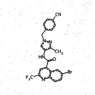 Cc1nn(Cc2ccc(C#N)cc2)cc1NC(=O)c1cc(C(F)(F)F)nc2ccc(Br)cc12